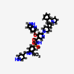 CC(C)c1ccccc1C1CCCN1C1CC2(CCN(c3cc(Oc4cnc5[nH]ccc5c4)c(C(=O)NS(=O)(=O)c4ccc(NCC5CCNCC5)c([N+](=O)[O-])c4)cn3)CC2)C1